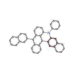 c1ccc(N(c2ccccc2)c2cccc3c(-c4ccc5ccccc5c4)c4ccccc4c(-c4ccc5ccccc5c4)c23)cc1